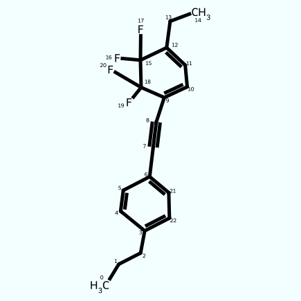 CCCc1ccc(C#CC2=CC=C(CC)C(F)(F)C2(F)F)cc1